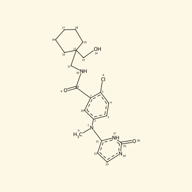 CN(c1ccc(Cl)c(C(=O)NCC2(CO)CCCCC2)c1)c1ccnc(=O)[nH]1